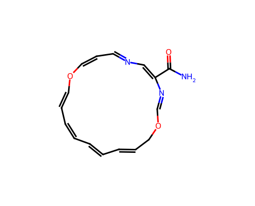 NC(=O)C1=C/N=C/C=C\O/C=C/C=C\C=C\C=C\CO\C=N\1